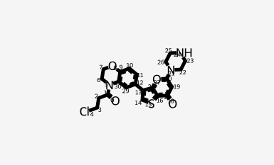 O=C(CCCl)N1CCOc2ccc(-c3csc4c(=O)cc(N5CCNCC5)oc34)cc21